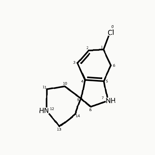 ClC1C=CC2=C(C1)NCC21CCNCC1